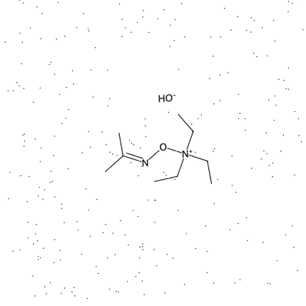 CC[N+](CC)(CC)ON=C(C)C.[OH-]